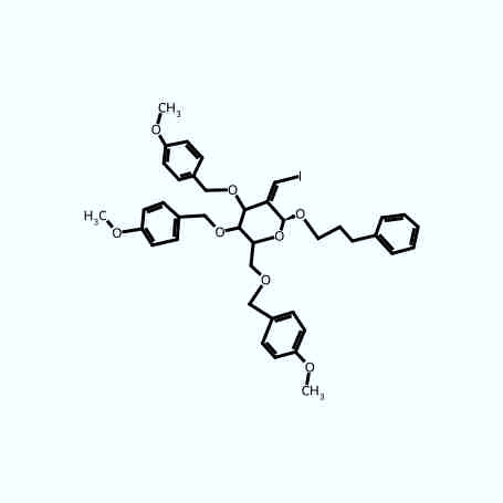 COc1ccc(COCC2O[C@H](OCCCc3ccccc3)/C(=C\I)C(OCc3ccc(OC)cc3)C2OCc2ccc(OC)cc2)cc1